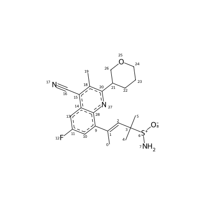 CC(=CC(C)(C)[S+](N)[O-])c1cc(F)cc2c(C#N)c(C)c(C3CCCOC3)nc12